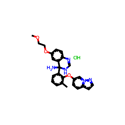 COCCOc1ccc2c(c1)C(N)(c1cccc(C)c1Oc1ccc3ccnn3c1)NC=N2.Cl